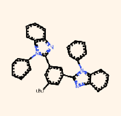 CC(C)(C)c1cc(-c2nc3ccccc3n2-c2ccccc2)cc(-c2nc3ccccc3n2-c2ccccc2)c1